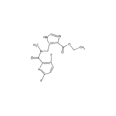 CCOC(=O)c1nc[nH]c1CN(C)C(=O)c1nc(F)ccc1F